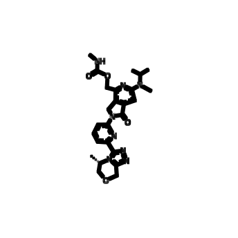 CNC(=O)OCc1nc(N(C)C(C)C)cc2c1CN(c1cccc(-c3nnc4n3[C@@H](C)COC4)n1)C2=O